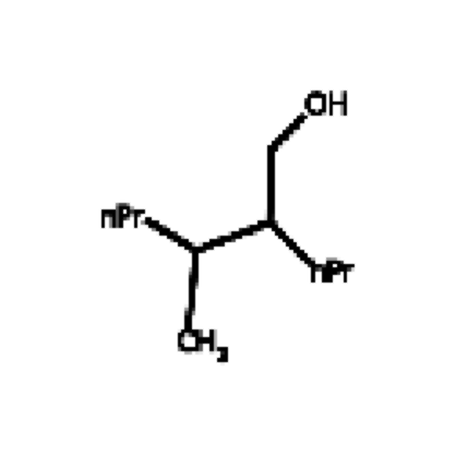 CCCC(C)C(CO)CCC